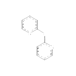 c1cc[c]([Re][c]2ccccn2)nc1